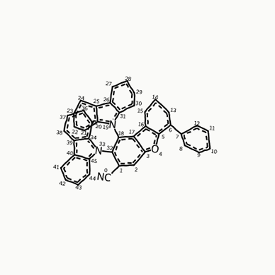 N#Cc1cc2oc3c(-c4ccccc4)cccc3c2c(-n2c3ccccc3c3ccccc32)c1-n1c2ccccc2c2ccccc21